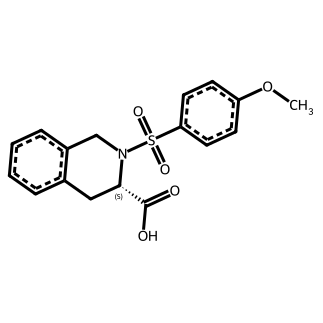 COc1ccc(S(=O)(=O)N2Cc3ccccc3C[C@H]2C(=O)O)cc1